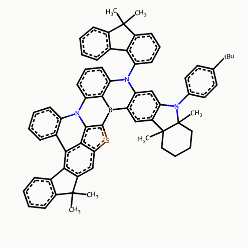 CC(C)(C)c1ccc(N2c3cc4c(cc3C3(C)CCCCC23C)B2c3sc5cc6c(c7c5c3N(c3ccccc3-7)c3cccc(c32)N4c2cccc3c2-c2ccccc2C3(C)C)-c2ccccc2C6(C)C)cc1